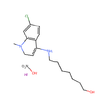 CN1CC=C(NCCCCCCCO)c2ccc(Cl)cc21.I.O=[N+]([O-])O